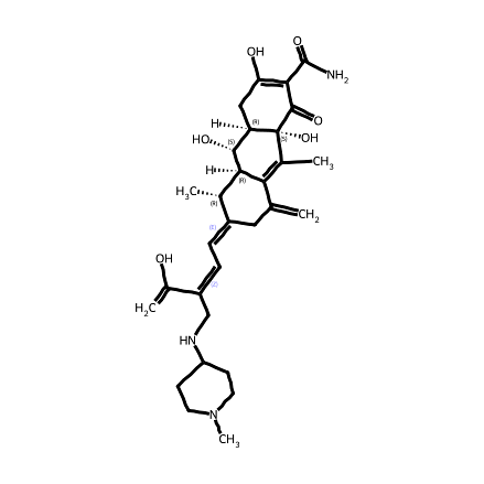 C=C1C/C(=C\C=C(\CNC2CCN(C)CC2)C(=C)O)[C@H](C)[C@@H]2C1=C(C)[C@]1(O)C(=O)C(C(N)=O)=C(O)C[C@@H]1[C@H]2O